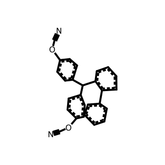 N#COc1ccc(C(c2ccc(OC#N)cc2)c2ccccc2-c2ccccc2)cc1